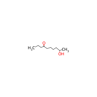 CCCC(=O)CCCCC(C)O